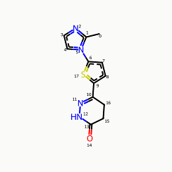 Cc1nccn1-c1ccc(C2=NNC(=O)CC2)s1